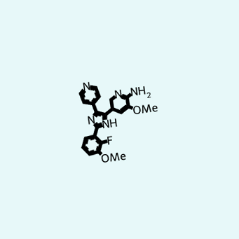 COC1=CC(c2[nH]c(-c3cccc(OC)c3F)nc2-c2ccncc2)CN=C1N